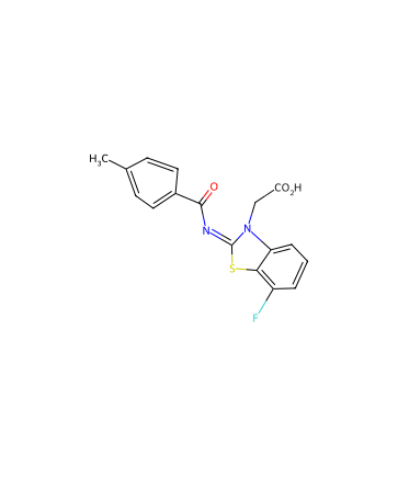 Cc1ccc(C(=O)N=c2sc3c(F)cccc3n2CC(=O)O)cc1